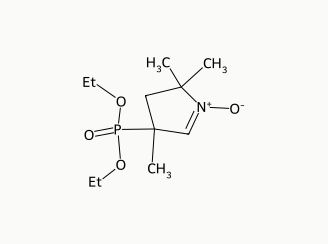 CCOP(=O)(OCC)C1(C)C=[N+]([O-])C(C)(C)C1